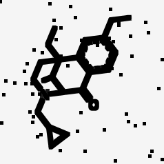 CCc1ccc2c(c1)C1(CC)CCN(CC3CC3)C(C2=O)C1C